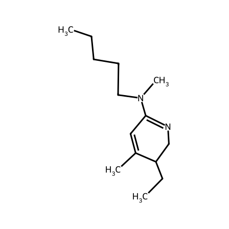 CCCCCN(C)C1=NCC(CC)C(C)=C1